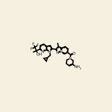 Cc1c(-c2cc3ccc(C(C)(O)C(F)(F)F)nc3n2CC2CC2)nn2cc(C(=O)N3CCC=C(N)C3)ccc12